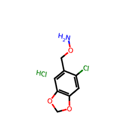 Cl.NOCc1cc2c(cc1Cl)OCO2